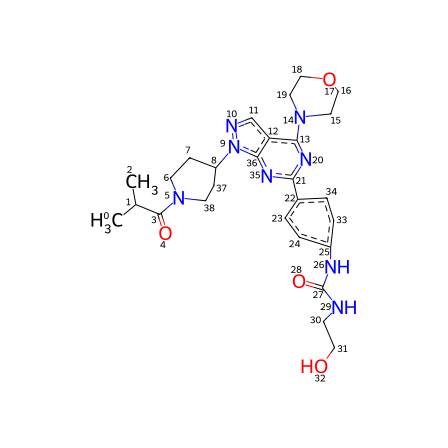 CC(C)C(=O)N1CCC(n2ncc3c(N4CCOCC4)nc(-c4ccc(NC(=O)NCCO)cc4)nc32)CC1